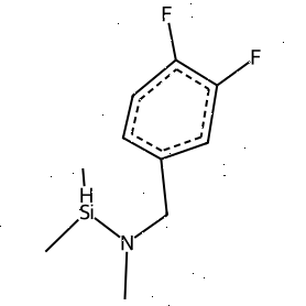 CN(Cc1ccc(F)c(F)c1)[SiH](C)C